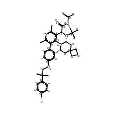 Cc1nc(C)c([C@H](OC(C)(C)C)C(=O)OC(C)C)c(N2CCC3(CCC3)CC2)c1-c1ccc(OCC(C)(C)c2ccc(F)cc2)cc1